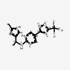 Cc1nc(C(C)Nc2ncc(-c3noc(C(F)(F)F)n3)cn2)cs1